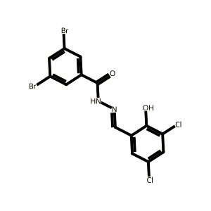 O=C(N/N=C/c1cc(Cl)cc(Cl)c1O)c1cc(Br)cc(Br)c1